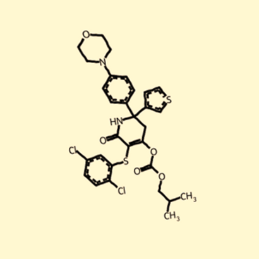 CC(C)COC(=O)OC1=C(Sc2cc(Cl)ccc2Cl)C(=O)NC(c2ccc(N3CCOCC3)cc2)(c2ccsc2)C1